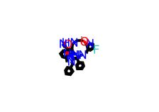 C[C@H]1CNC(=O)c2c(C#N)nn3c(N(Cc4ccccc4)Cc4ccccc4)c(-c4ccccc4)c(nc23)NCc2cc(F)cnc2O1